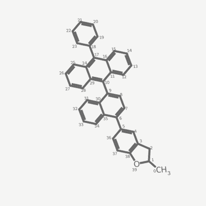 CC1Cc2cc(-c3ccc(-c4c5ccccc5c(-c5ccccc5)c5ccccc45)c4ccccc34)ccc2O1